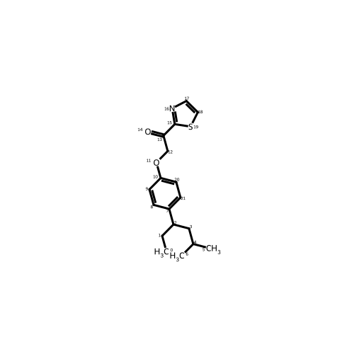 CCC(CC(C)C)c1ccc(OCC(=O)c2nccs2)cc1